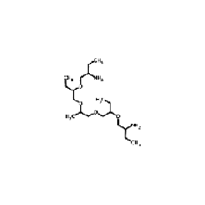 CCC(N)COC(CC)COCC(C)OCC(CC)OCC(N)CC